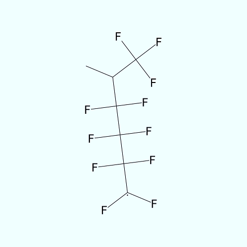 CC(C(F)(F)F)C(F)(F)C(F)(F)C(F)(F)[C](F)F